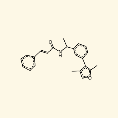 Cc1noc(C)c1-c1cccc(C(C)NC(=O)C=Cc2ccccc2)c1